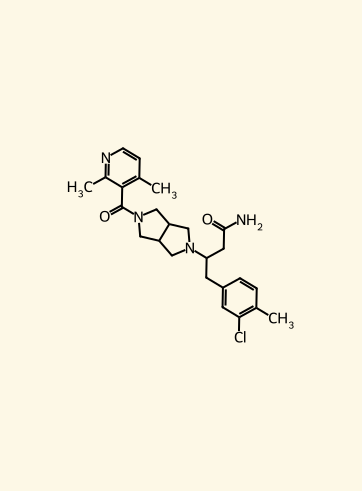 Cc1ccc(CC(CC(N)=O)N2CC3CN(C(=O)c4c(C)ccnc4C)CC3C2)cc1Cl